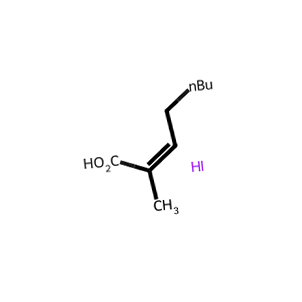 CCCCC/C=C(/C)C(=O)O.I